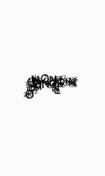 [C-]#[N+]c1cc(NC(=O)CCN(C)S(=O)(=O)c2c(C)cc(OC)cc2C)cnc1N1CCC(CCN(C)C)CC1